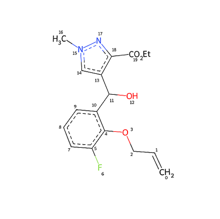 C=CCOc1c(F)cccc1C(O)c1cn(C)nc1C(=O)OCC